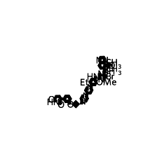 CCc1cc(Nc2ncc(Br)c(Nc3ccc4nccnc4c3P(C)(C)=O)n2)c(OC)cc1N1CCC(N2CCN(C[C@H]3C[C@@H](Oc4cccc(C5CCC(=O)NC5=O)c4)C3)CC2)CC1